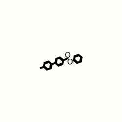 Cc1ccc(-c2ccc(C(=O)Oc3ccccc3)cc2)cc1